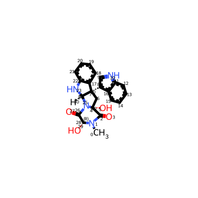 CN1C(=O)[C@]2(O)C[C@]3(c4c[nH]c5ccccc45)c4ccccc4N[C@@H]3N2C(=O)[C@H]1O